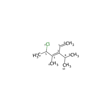 C=C/C(=C(/C)C(C)Cl)C(C)C